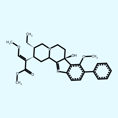 CC[C@@H]1CN2CC[C@@]3(O)C(=Nc4ccc(-c5ccccc5)c(OC)c43)C2C[C@@H]1/C(=C\OC)C(=O)OC